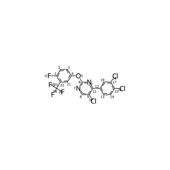 Fc1ccc(Oc2ncc(Cl)c(-c3ccc(Cl)c(Cl)c3)n2)cc1C(F)(F)F